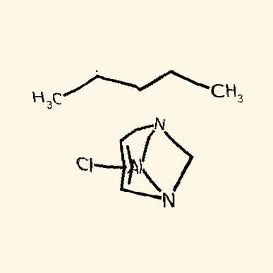 C[CH]CCC.[Cl][Al]1[N]2C=C[N]1C2